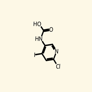 O=C(O)Nc1cnc(Cl)cc1I